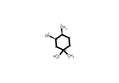 C[C@H]1CCC(C)(C)C[C@H]1N=O